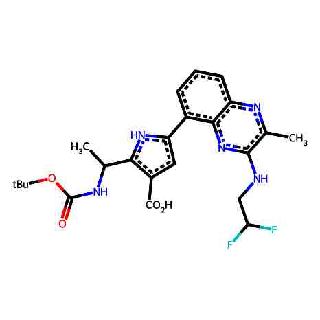 Cc1nc2cccc(-c3cc(C(=O)O)c(C(C)NC(=O)OC(C)(C)C)[nH]3)c2nc1NCC(F)F